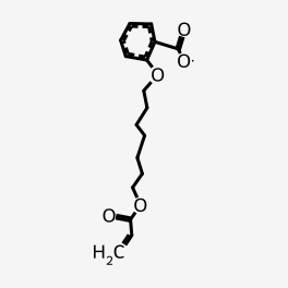 C=CC(=O)OCCCCCCCOc1ccccc1C([O])=O